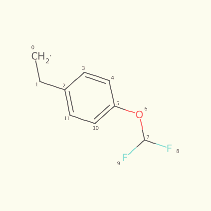 [CH2]Cc1ccc(OC(F)F)cc1